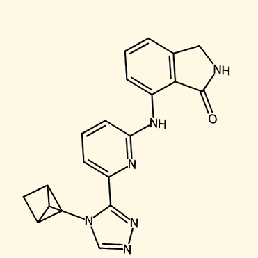 O=C1NCc2cccc(Nc3cccc(-c4nncn4C4C5CC4C5)n3)c21